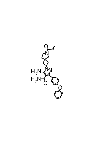 C=CC(=O)N1CC[C@]2(C1)C[C@H](n1nc(-c3ccc(Oc4ccccc4)cc3)c(C(N)=O)c1N)C2